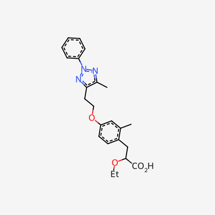 CCOC(Cc1ccc(OCCc2nn(-c3ccccc3)nc2C)cc1C)C(=O)O